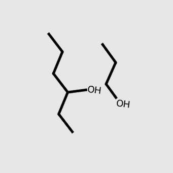 CCCC(O)CC.CCCO